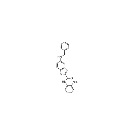 Nc1ccccc1NC(=O)c1cc2cc(NCc3ccccc3)ccc2s1